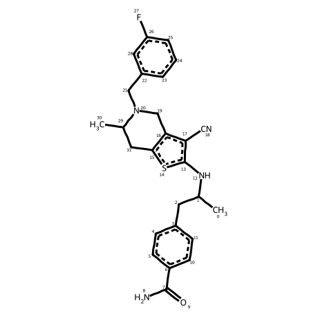 CC(Cc1ccc(C(N)=O)cc1)Nc1sc2c(c1C#N)CN(Cc1cccc(F)c1)C(C)C2